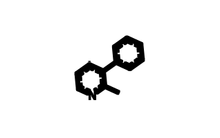 Cc1ncc[c]c1-c1ccccc1